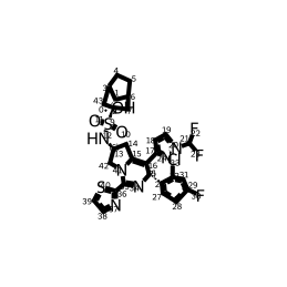 C[C@]1(O)C2CCC1C[C@@H](S(=O)(=O)N[C@H]1CC3=C(c4ccn(C(F)F)n4)[C@H](c4ccc(F)cc4Cl)N=C(c4nccs4)N3C1)C2